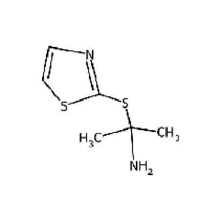 CC(C)(N)Sc1nccs1